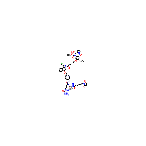 COc1cc2c(cc1OCCCCCC(=O)N1C[C@@H](CCl)c3c1cc(OCC1=C/C=C=C(NC(=O)C(CCCNC(N)=O)NC(=O)[C@@H](NC(=O)CCCCCN4C(=O)C=CC4=O)C(C)C)C/C=C\1)c1ccccc31)N(C(=O)OC(C)(C)C)C(O)C1CCCN1C2=O